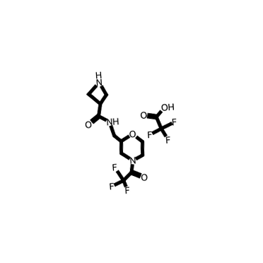 O=C(NCC1CN(C(=O)C(F)(F)F)CCO1)C1CNC1.O=C(O)C(F)(F)F